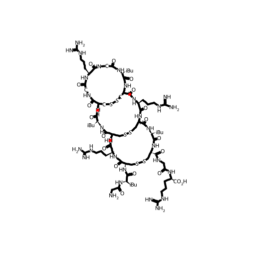 CC[C@H](C)[C@H](NC(=O)CN)C(=O)N[C@H]1CSSC[C@@H](C(=O)NCC(=O)N[C@@H](CCCNC(=N)N)C(=O)O)NC(=O)[C@H]([C@@H](C)CC)NC(=O)[C@@H]2CSSC[C@H](NC(=O)[C@H](CCCNC(=N)N)NC1=O)C(=O)N[C@@H]([C@@H](C)CC)C(=O)N[C@H]1CSSC[C@H](NC(=O)[C@H]([C@@H](C)CC)NC(=O)CNC(=O)[C@H](CCCNC(=N)N)NC(=O)CNC1=O)C(=O)N[C@@H](CCCNC(=N)N)C(=O)N2